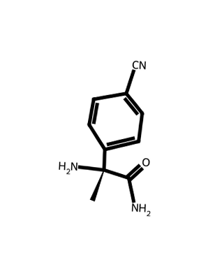 C[C@](N)(C(N)=O)c1ccc(C#N)cc1